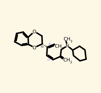 C=C(/C=C\C(=C/C)[C@H]1COc2ccccc2O1)CN(C)C1CCCCC1